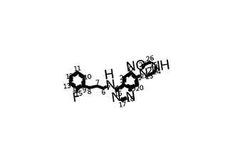 O=[N+]([O-])c1cc2c(NCCCc3ccccc3F)ncnc2cc1N1CCNCC1